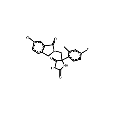 Cc1cc(F)ccc1C1(CN2Cc3ccc(Cl)cc3C2=O)NC(=O)NC1=O